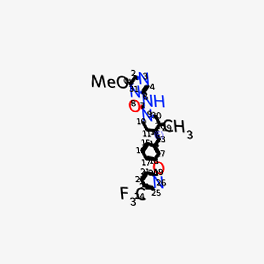 COc1cncc(NC(=O)N2CC/C(=C\c3cccc(Oc4ccc(C(F)(F)F)cn4)c3)C(C)C2)n1